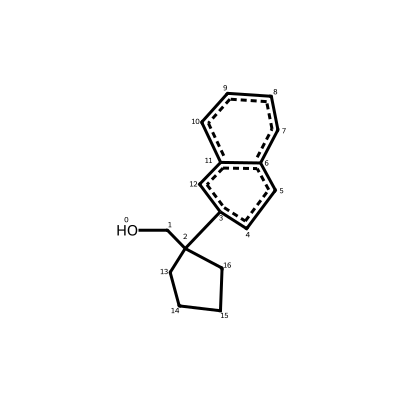 OCC1(c2ccc3ccccc3c2)CCCC1